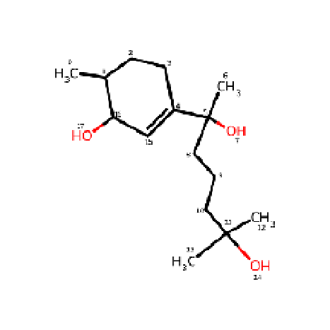 CC1CCC(C(C)(O)CCCC(C)(C)O)=CC1O